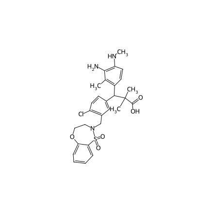 CNc1ccc(C(c2ccc(Cl)c(CN3CCOc4ccccc4S3(=O)=O)c2)C(C)(C)C(=O)O)c(C)c1N